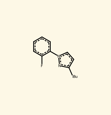 CCC(C)c1ccn(-c2ccccc2F)n1